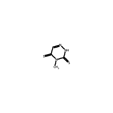 Cn1c(=S)cn[nH]c1=S